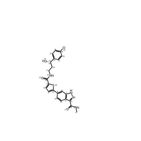 CNC(=O)c1n[nH]c2cc(-c3ccc(C(=O)NCC[C@H](O)c4ccc(Cl)cc4)s3)ccc12